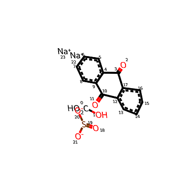 O=C(O)O.O=C1c2ccccc2C(=O)c2ccccc21.O=S([O-])[O-].[Na+].[Na+]